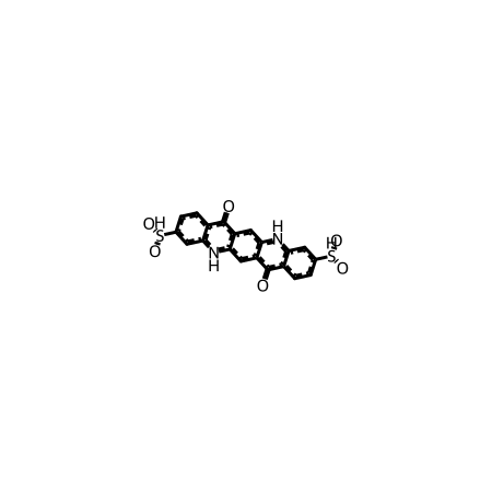 O=c1c2ccc([SH](=O)=O)cc2[nH]c2cc3c(=O)c4ccc([SH](=O)=O)cc4[nH]c3cc12